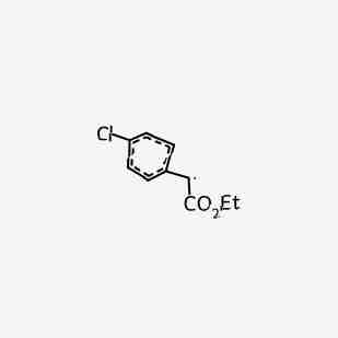 CCOC(=O)[CH]c1ccc(Cl)cc1